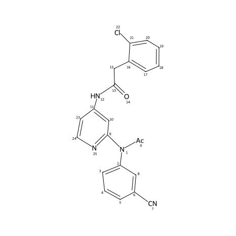 CC(=O)N(c1cccc(C#N)c1)c1cc(NC(=O)Cc2ccccc2Cl)ccn1